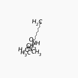 C=CCCCCCCCCC(=O)NCCN(C(C)C)C(C)C